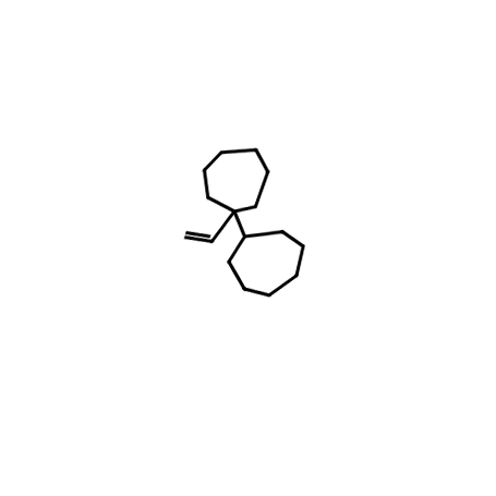 C=CC1(C2CCCCCC2)CCCCCC1